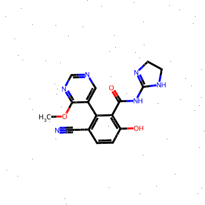 COc1ncncc1-c1c(C#N)ccc(O)c1C(=O)NC1=NCCN1